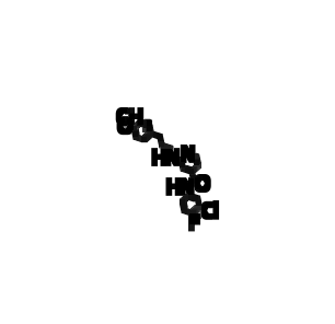 COc1ccc(CCCNc2cc(C(=O)Nc3ccc(F)c(Cl)c3)ccn2)cc1